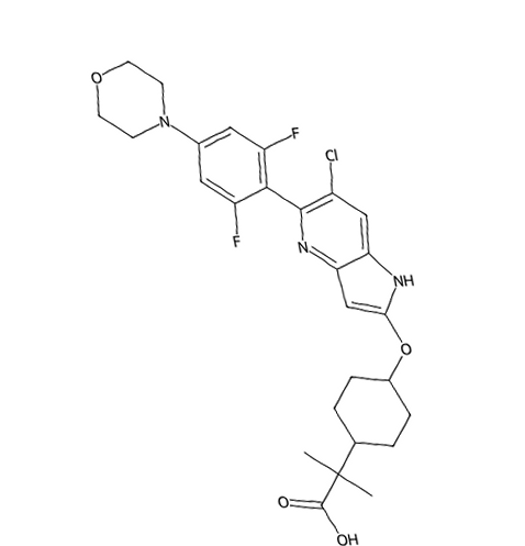 CC(C)(C(=O)O)C1CCC(Oc2cc3nc(-c4c(F)cc(N5CCOCC5)cc4F)c(Cl)cc3[nH]2)CC1